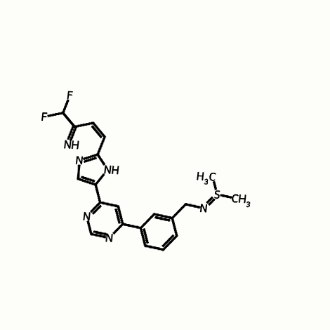 CS(C)=NCc1cccc(-c2cc(-c3cnc(/C=C\C(=N)C(F)F)[nH]3)ncn2)c1